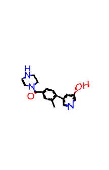 Cc1cc(C(=O)N2CCNCC2)ccc1-c1cncc(O)c1